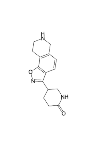 O=C1CCC(c2noc3c4c(ccc23)CNCC4)CN1